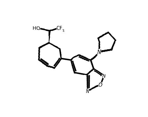 OC([C@@H]1CC=CC=C(c2cc(N3CCCC3)c3nonc3c2)C1)C(F)(F)F